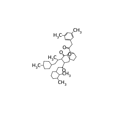 Cc1cc(C)cc(CC(=O)C2C3CCC4(CC(C(=O)CC5CCCC(C)C5C)C(C(C)CC5CCC(C)CC5)C(=O)C24)O3)c1